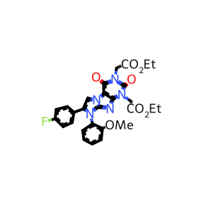 CCOC(=O)Cn1c(=O)c2c(nc3n(-c4ccccc4OC)c(-c4ccc(F)cc4)cn23)n(CC(=O)OCC)c1=O